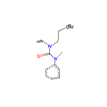 CCCN(CCC(C)(C)C)C(=O)N(C)c1ccccc1